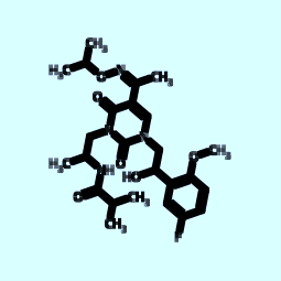 COc1ccc(F)cc1C(O)Cn1cc(/C(C)=N\OC(C)C)c(=O)n(CC(C)NC(=O)C(C)C)c1=O